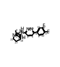 C[C@@H]1[C@@H](Nc2ccc(-c3ccc(F)c(F)c3)nn2)C2CCN1CC2